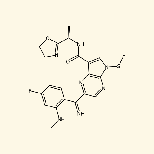 CNc1cc(F)ccc1C(=N)c1cnc2c(n1)c(C(=O)N[C@H](C)C1=NCCO1)cn2SF